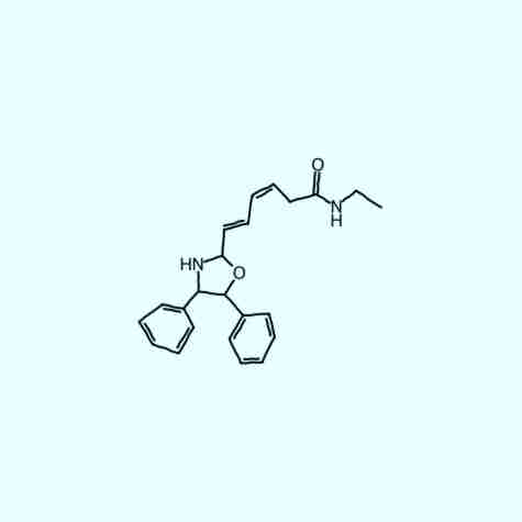 CCNC(=O)C/C=C\C=C\C1NC(c2ccccc2)C(c2ccccc2)O1